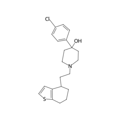 OC1(c2ccc(Cl)cc2)CCN(CCC2CCCc3sccc32)CC1